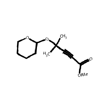 COC(=O)C#CC(C)(C)OC1CCCCO1